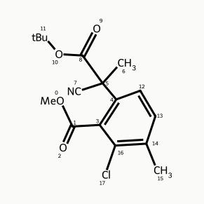 COC(=O)c1c(C(C)(C#N)C(=O)OC(C)(C)C)ccc(C)c1Cl